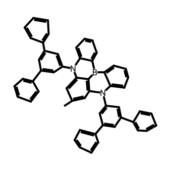 Cc1cc2c3c(c1)N(c1cc(-c4ccccc4)cc(-c4ccccc4)c1)c1ccccc1B3c1ccccc1N2c1cc(-c2ccccc2)cc(-c2ccccc2)c1